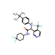 CC(C)(C)c1ccc(NC(C(=O)NC2CCC(F)(F)CC2)c2cnccc2C(F)(F)F)cc1